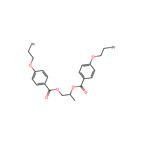 CC(C)CCOc1ccc(C(=O)OCC(C)OC(=O)c2ccc(OCCC(C)C)cc2)cc1